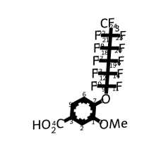 COc1cc(C(=O)O)ccc1OC(F)(F)C(F)(F)C(F)(F)C(F)(F)C(F)(F)C(F)(F)F